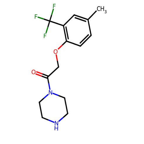 Cc1ccc(OCC(=O)N2CCNCC2)c(C(F)(F)F)c1